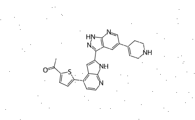 CC(=O)c1ccc(-c2ccnc3[nH]c(-c4n[nH]c5ncc(C6=CCNCC6)cc45)cc23)s1